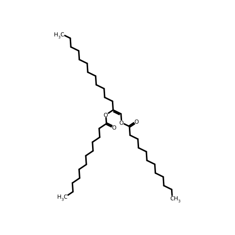 CCCCCCCCCCCCC(=COC(=O)CCCCCCCCCCC)OC(=O)CCCCCCCCCCC